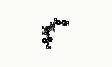 CC(C)(CNC(=O)COc1ccc(C2=NNC(=O)CC2)cc1Cl)NCC(O)COc1cccc2c1c1ccccc1n2CCO